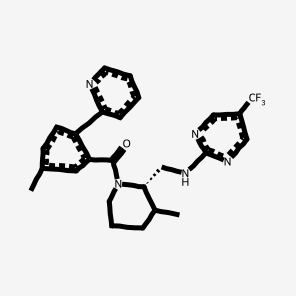 Cc1ccc(-c2ccccn2)c(C(=O)N2CCCC(C)[C@H]2CNc2ncc(C(F)(F)F)cn2)c1